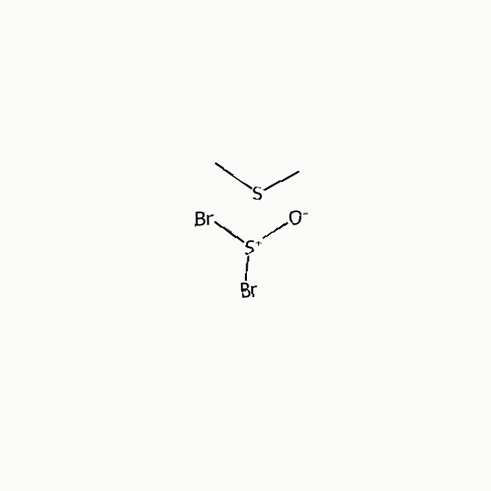 CSC.[O-][S+](Br)Br